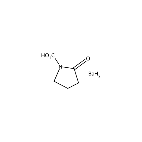 O=C(O)N1CCCC1=O.[BaH2]